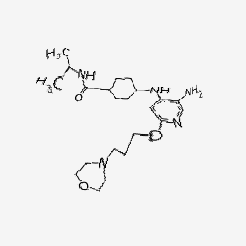 CC(C)NC(=O)C1CCC(Nc2cc(OCCCN3CCOCC3)ncc2N)CC1